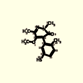 COc1c(C)nn(C)c(=O)c1-c1cc(S)ccc1C